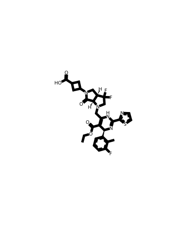 CCOC(=O)C1=C(CN2CC(F)(F)[C@@H]3CN(C4CC(C(=O)O)C4)C(=O)[C@@H]32)NC(c2nccs2)=N[C@H]1c1cccc(F)c1C